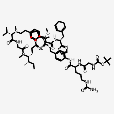 CC[C@H](C)[C@@H](CCC(=O)N1CCCC1[C@H](OC)[C@@H](C)C(=O)N[C@@H](CC1=CCCC=C1)c1nccs1)N(C)C(=O)CNC(=O)[C@H](C(C)C)N(C)CCc1ccc(N(C)C(=O)OCc2ccc(NC(=O)C(CCCNC(N)=O)NC(=O)CNC(=O)OC(C)(C)C)cc2)cc1